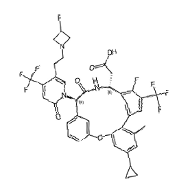 Cc1cc(C2CC2)cc2c1-c1cc(c(F)c(C(F)(F)F)c1)[C@@H](CC(=O)O)NC(=O)[C@H](n1cc(CCN3CC(F)C3)c(C(F)(F)F)cc1=O)c1cccc(c1)O2